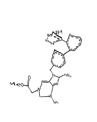 CCCCC1N=C2C(=CN(CC(=O)OC)CN2CCC)N1Cc1ccc(-c2ccccc2-c2nnn[nH]2)cc1